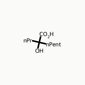 CCCCCC(O)(CCC)C(=O)O